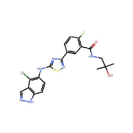 CC(C)(O)CNC(=O)c1cc(-c2nsc(Nc3ccc4[nH]ncc4c3Cl)n2)ccc1F